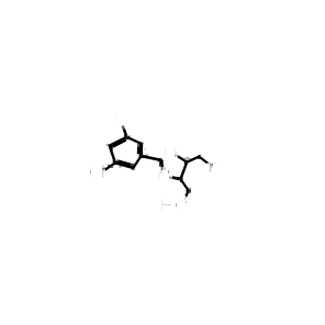 OCC1OC(c2cc(Cl)cc(Cl)c2)OC1CO